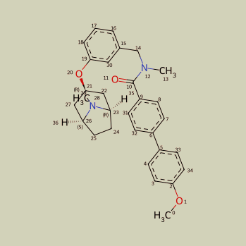 COc1ccc(-c2ccc(C(=O)N(C)Cc3cccc(O[C@H]4C[C@H]5CC[C@@H](C4)N5C)c3)cc2)cc1